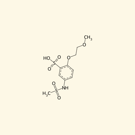 COCCOc1ccc(NS(C)(=O)=O)cc1S(=O)(=O)O